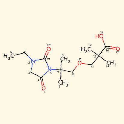 CCN1CC(=O)N(C(C)(C)COCC(C)(C)C(=O)O)C1=O